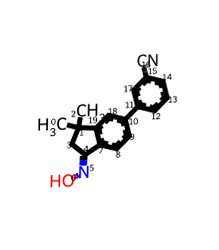 CC1(C)CC(=NO)c2ccc(-c3cccc(C#N)c3)cc21